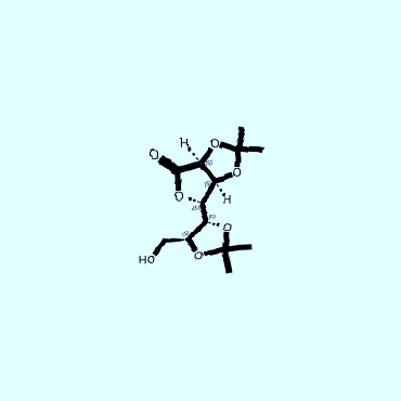 CC1(C)O[C@@H]([C@@H]2OC(=O)[C@H]3OC(C)(C)O[C@@H]23)[C@H](CO)O1